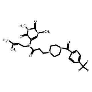 CC(C)=CCN(C(=O)CCN1CCN(C(=O)c2ccc(C(F)(F)F)cc2)CC1)c1cn(C)c(=O)n(C)c1=O